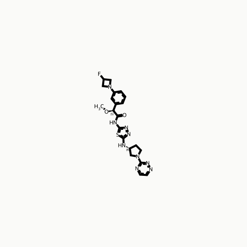 CO[C@H](C(=O)Nc1nnc(N[C@@H]2CCN(c3nccnn3)C2)s1)c1cccc(N2CC(F)C2)c1